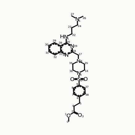 COC(=O)CCc1ccc(S(=O)(=O)N2CCN(Cc3nc(NCCCN(C)C)c4ccccc4n3)CC2)cc1